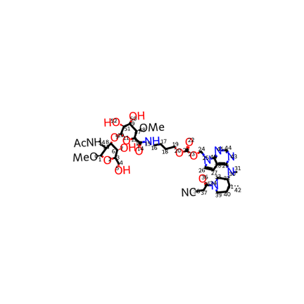 CO[C@@H]1OC(CO)[C@@H](O)C(O[C@@H]2OC(C(=O)NCCCCOC(=O)OCn3ccc4c(N(C)[C@H]5CN(C(=O)CC#N)CC[C@H]5C)ncnc43)[C@@H](OC)C(O)[C@@H]2O)C1NC(C)=O